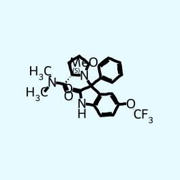 COc1ccccc1C1(N2CCC[C@H]2C(=O)N(C)C)C(=O)Nc2ccc(OC(F)(F)F)cc21